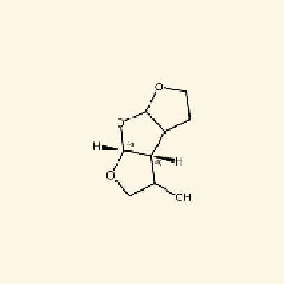 OC1CO[C@@H]2OC3OCCC3[C@H]12